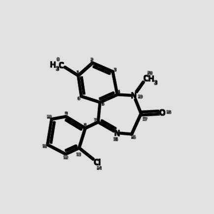 Cc1ccc2c(c1)C(c1ccccc1Cl)=NCC(=O)N2C